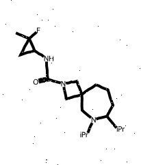 CC(C)C1CCCC2(CN(C(=O)NC3CC3(C)F)C2)CN1C(C)C